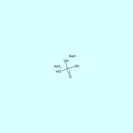 O=P(O)(O)O.[AsH3].[NaH]